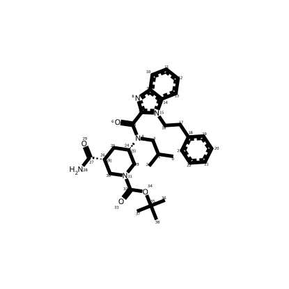 CC(C)CN(C(=O)c1nc2ccccc2n1CCc1ccccc1)[C@H]1C[C@@H](C(N)=O)CN(C(=O)OC(C)(C)C)C1